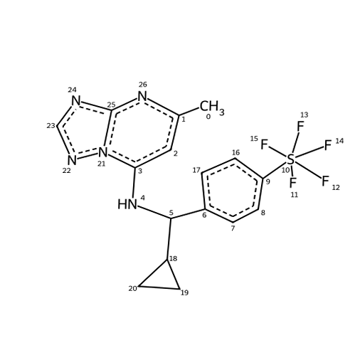 Cc1cc(NC(c2ccc(S(F)(F)(F)(F)F)cc2)C2CC2)n2ncnc2n1